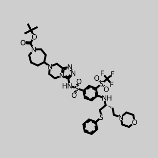 CC(C)(C)OC(=O)N1CCCC(N2CCn3c(nnc3NS(=O)(=O)c3ccc(N[C@H](CCN4CCOCC4)CSc4ccccc4)c(S(=O)(=O)C(F)(F)F)c3)C2)CC1